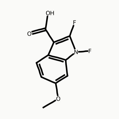 COc1ccc2c(C(=O)O)c(F)n(F)c2c1